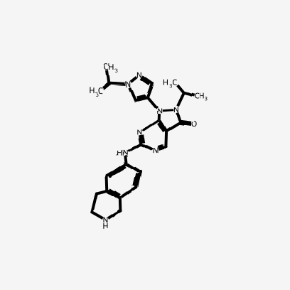 CC(C)n1cc(-n2c3nc(Nc4ccc5c(c4)CCNC5)ncc3c(=O)n2C(C)C)cn1